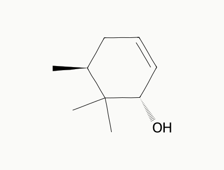 C[C@H]1CC=C[C@H](O)C1(C)C